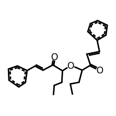 CCCC(OC(CCC)C(=O)/C=C/c1ccccc1)C(=O)/C=C/c1ccccc1